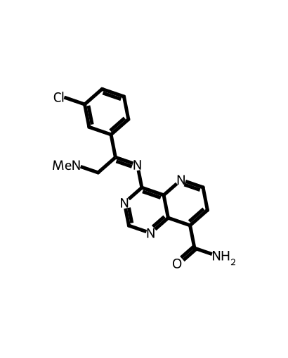 CNC/C(=N\c1ncnc2c(C(N)=O)ccnc12)c1cccc(Cl)c1